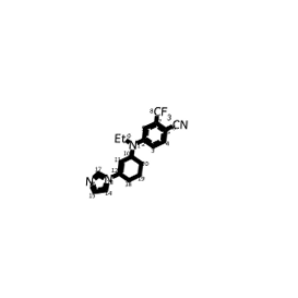 CCN(c1ccc(C#N)c(C(F)(F)F)c1)C1C=C(n2ccnc2)CCC1